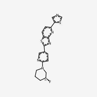 F[C@H]1CCCN(c2ccc(-c3nc4nc(-c5cncs5)ccc4s3)cn2)C1